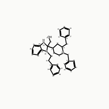 OCC1(C2CCN(Cc3ccccc3)C(Cc3ccccc3)C2)Nc2ccccc2N1CCc1ccccc1